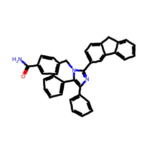 NC(=O)c1ccc(Cn2c(-c3ccc4c(c3)-c3ccccc3C4)nc(-c3ccccc3)c2-c2ccccc2)cc1